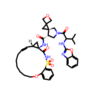 CC(C)C(Nc1nc2ccccc2o1)C(=O)N1C[C@H](C(=O)N[C@]23C[C@H]2/C=C\CCCCCCOc2ccccc2S(=O)(=O)NC3=O)[C@]2(C1)CC21COC1